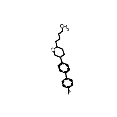 CCCCCC1CCC(c2ccc(-c3ccc(F)cc3)cc2)CO1